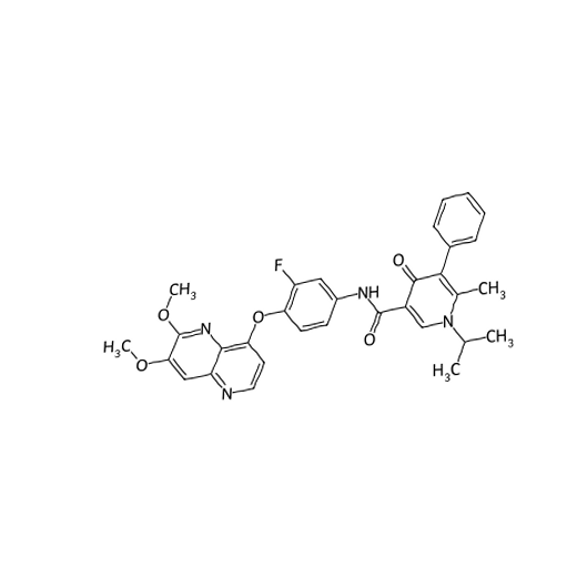 COc1cc2nccc(Oc3ccc(NC(=O)c4cn(C(C)C)c(C)c(-c5ccccc5)c4=O)cc3F)c2nc1OC